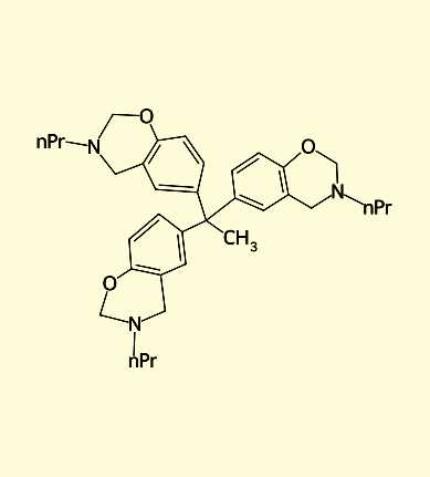 CCCN1COc2ccc(C(C)(c3ccc4c(c3)CN(CCC)CO4)c3ccc4c(c3)CN(CCC)CO4)cc2C1